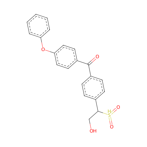 O=C(c1ccc(Oc2ccccc2)cc1)c1ccc(C(CO)[SH](=O)=O)cc1